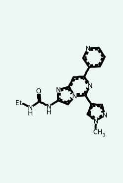 CCNC(=O)Nc1cn2c(-c3cnn(C)c3)nc(-c3cccnc3)cc2n1